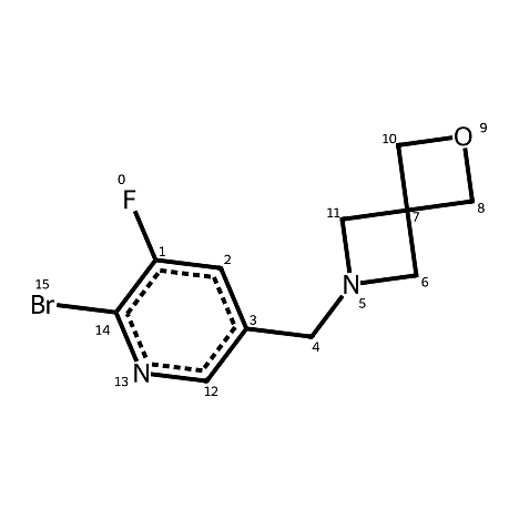 Fc1cc(CN2CC3(COC3)C2)cnc1Br